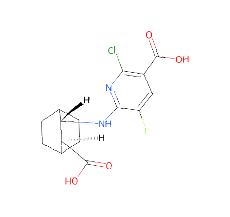 O=C(O)c1cc(F)c(N[C@H]2C3CCC(CC3)[C@@H]2C(=O)O)nc1Cl